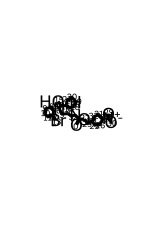 O=C(NCCCN(c1ccccc1Br)C(O)c1ccccc1)OCc1ccc([N+](=O)[O-])cc1